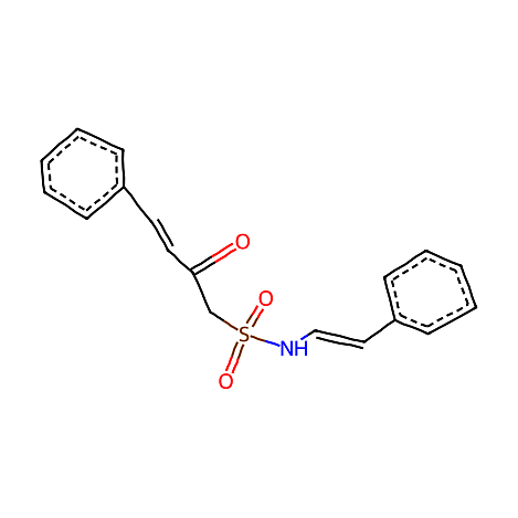 O=C(/C=C/c1ccccc1)CS(=O)(=O)N/C=C/c1ccccc1